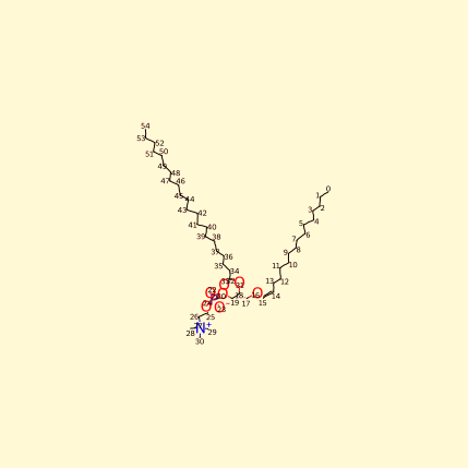 CCCCCCCCCCCCCC/C=C\OC[C@H](COP(=O)([O-])OCC[N+](C)(C)C)OC(=O)CCCCCCCCCCCCCCCCCCCCC